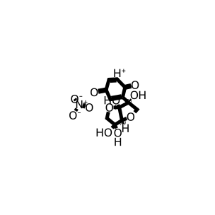 O=C1C=CC(=O)C([C@@]2(O)CO[C@@H]3C(O)(O)CO[C@@]32O)=C1.O=[N+]([O-])[O-].[H+]